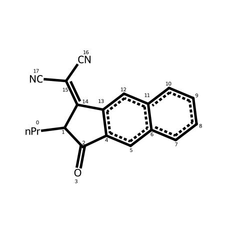 CCCC1C(=O)c2cc3ccccc3cc2C1=C(C#N)C#N